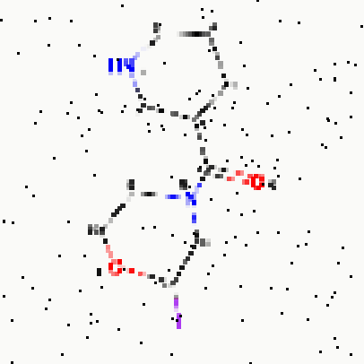 O=C(C1CCCNC1)N1CCOC(I)C1